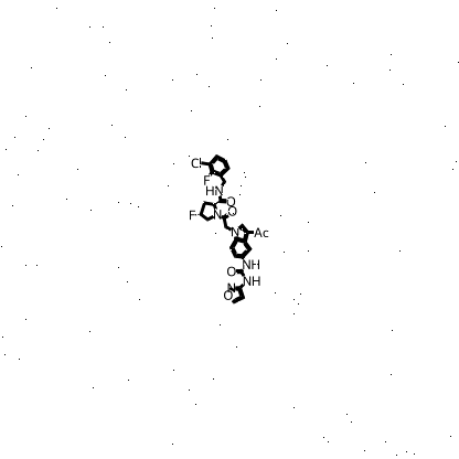 CC(=O)c1cn(CC(=O)N2C[C@H](F)C[C@H]2C(=O)NCc2cccc(Cl)c2F)c2ccc(NC(=O)Nc3ccon3)cc12